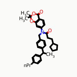 CCCc1ccc(C(C)c2ccc(CN(C(=O)CCC3CCCC3)c3ccc4c(c3)OC(C)(C)OC4=O)cc2)cc1